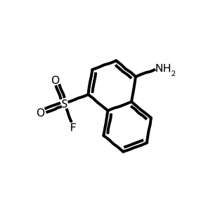 Nc1ccc(S(=O)(=O)F)c2ccccc12